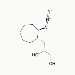 [N-]=[N+]=N[C@@H]1CCCCC[C@H]1CC(O)CO